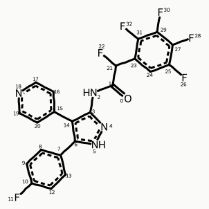 O=C(Nc1n[nH]c(-c2ccc(F)cc2)c1-c1ccncc1)C(F)c1cc(F)c(F)c(F)c1F